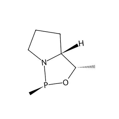 C[C@@H]1O[P@@](C)N2CCC[C@H]12